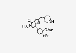 CCCc1ccc(-c2cn(C)c(=O)c3cc(CN4CCCNCC4)sc23)cc1OC